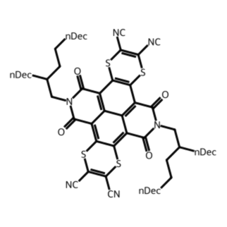 [C-]#[N+]c1sc2c(sc1[N+]#[C-])c1c(=O)n(CC(CCCCCCCCCC)CCCCCCCCCCCC)c(=O)c3c4sc(C#N)c(C#N)sc4c4c(=O)n(CC(CCCCCCCCCC)CCCCCCCCCCCC)c(=O)c2c4c31